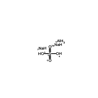 O=S(=O)(O)O.[AlH3].[NaH].[NaH]